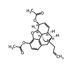 C=CCN1CC[C@]23c4c5ccc(OC(C)=O)c4O[C@H]2[C@@H](OC(C)=O)C=C[C@H]3[C@H]1C5